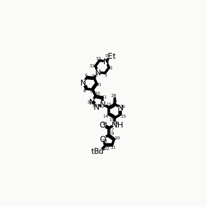 CCN1CCN(c2cncc(-c3cn(-c4cc(NC(=O)c5ccc(C(C)(C)C)o5)cnc4C)nn3)c2)CC1